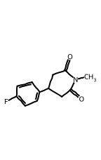 CN1C(=O)CC(c2ccc(F)cc2)CC1=O